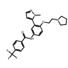 Cn1nccc1-c1cc(NC(=O)c2ccc(C(F)(F)F)cc2)ccc1OCCN1CCCC1